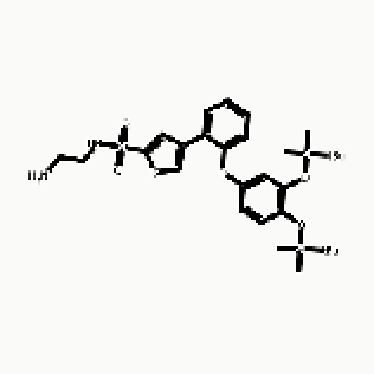 CC(C)(C)[Si](C)(C)Oc1ccc(Oc2ccccc2-c2csc(S(=O)(=O)NCCN)c2)cc1O[Si](C)(C)C(C)(C)C